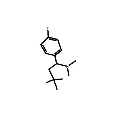 CN(C)C(CC(C)(C)C)c1ccc(F)cc1